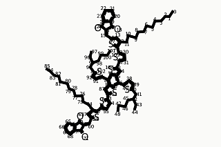 CCCCCCCCCCCCc1cc(C=C2C(=O)c3ccccc3C2=O)sc1-c1ccc(-c2cc3c(-c4ccc(CC(CC)CCCC)s4)c4sc(-c5ccc(-c6sc(C=C7C(=O)c8ccccc8C7=O)cc6CCCCCCCCCCCC)s5)cc4c(-c4ccc(CC(CC)CCCC)s4)c3s2)s1